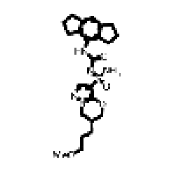 COCCC[C@@H]1COc2c(S(N)(=O)=NC(=O)Nc3c4c(cc5c3CCC5)CCC4)cnn2C1